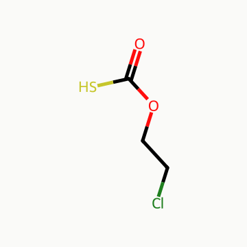 O=C(S)OCCCl